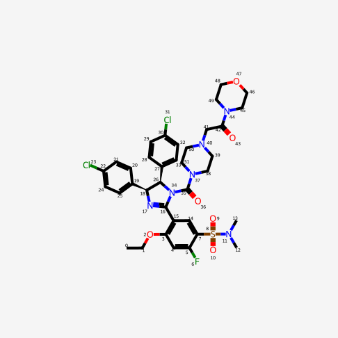 CCOc1cc(F)c(S(=O)(=O)N(C)C)cc1C1=N[C@@H](c2ccc(Cl)cc2)[C@@H](c2ccc(Cl)cc2)N1C(=O)N1CCN(CC(=O)N2CCOCC2)CC1